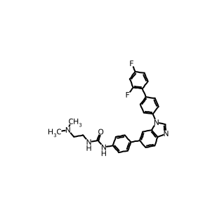 CN(C)CCNC(=O)Nc1ccc(-c2ccc3ncn(-c4ccc(-c5ccc(F)cc5F)cc4)c3c2)cc1